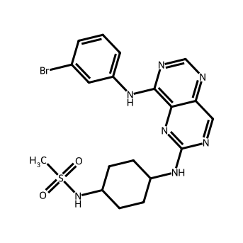 CS(=O)(=O)NC1CCC(Nc2ncc3ncnc(Nc4cccc(Br)c4)c3n2)CC1